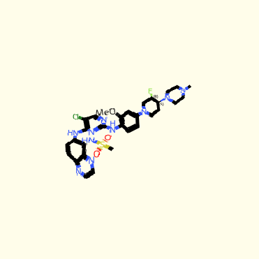 COc1cc(N2CC[C@H](N3CCN(C)CC3)[C@H](F)C2)ccc1Nc1ncc(Cl)c(Nc2ccc3nccnc3c2NS(C)(=O)=O)n1